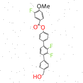 COc1ccc(C(=O)Oc2ccc(-c3ccc(-c4ccc(CO)cc4)c(F)c3F)cc2)cc1F